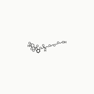 O=C(COc1cccc2c1C(=O)N(C1CCC(=O)NC1=O)C2=O)NCCOCCOCCOCCO